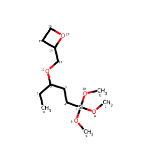 CCC(CC[Si](OC)(OC)OC)OCC1CCO1